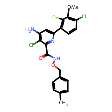 COc1c(Cl)ccc(-c2cc(N)c(Cl)c(C(=O)NOCc3ccc(C)cc3)n2)c1F